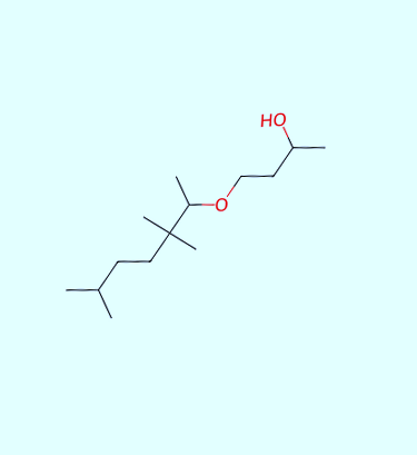 CC(C)CCC(C)(C)C(C)OCCC(C)O